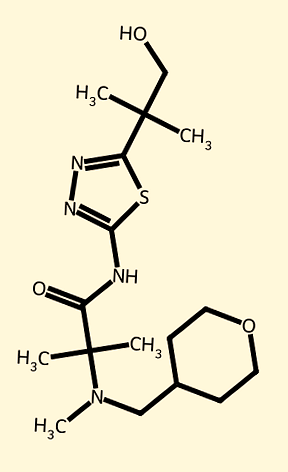 CN(CC1CCOCC1)C(C)(C)C(=O)Nc1nnc(C(C)(C)CO)s1